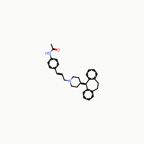 CC(=O)Nc1ccc(/C=C/CN2CCC(=C3c4ccccc4CCc4ccccc43)CC2)cc1